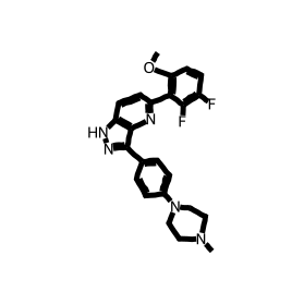 COc1ccc(F)c(F)c1-c1ccc2[nH]nc(-c3ccc(N4CCN(C)CC4)cc3)c2n1